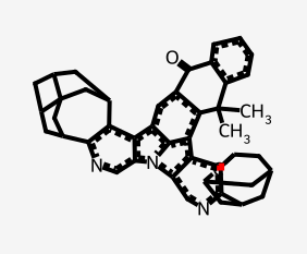 CC1(C)c2ccccc2C(=O)c2cc3c4c5c(ncc4n4c6cnc7c(c6c(c21)c34)C1CC2CC(CC7C2)C1)C1CC2CC3CC5CC23C1